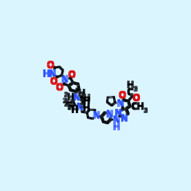 [2H]C1([2H])N(CC2CCN(c3ccc(Nc4ncc5c(C)c(C(C)=O)c(=O)n(C6CCCC6)c5n4)nc3)CC2)C([2H])([2H])C([2H])([2H])N(c2ccc3c(c2)C(=O)N(C2CCC(=O)NC2=O)C3=O)C1([2H])[2H]